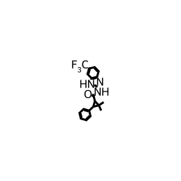 CC1(C)C(C(=O)Nc2nc3ccc(C(F)(F)F)cc3[nH]2)C1c1ccccc1